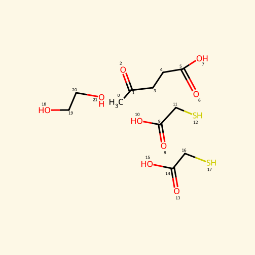 CC(=O)CCC(=O)O.O=C(O)CS.O=C(O)CS.OCCO